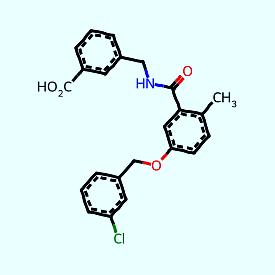 Cc1ccc(OCc2cccc(Cl)c2)cc1C(=O)NCc1cccc(C(=O)O)c1